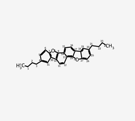 CCCCc1ccc2oc3c(ccc4c3ccc3c5cc(CCCC)ccc5oc34)c2c1